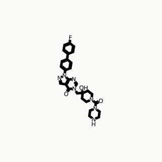 O=C(N1CCNCC1)N1CCC(O)(Cn2cnc3c(cnn3-c3ccc(-c4ccc(F)cc4)cc3)c2=O)CC1